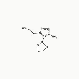 Nc1cnn(CCO)c1B1OCCO1